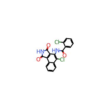 O=C(Nc1c2c(c3ccccc3c1Cl)C(=O)NC2=O)c1ccccc1Cl